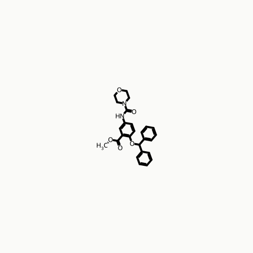 COC(=O)c1cc(NC(=O)N2CCOCC2)ccc1OC(c1ccccc1)c1ccccc1